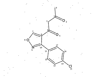 CC(=O)CC(=O)c1conc1-c1ccc(Cl)cc1